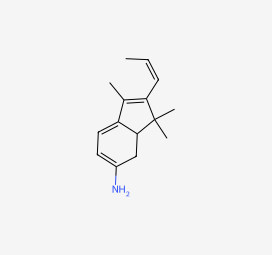 C/C=C\C1=C(C)C2=CC=C(N)CC2C1(C)C